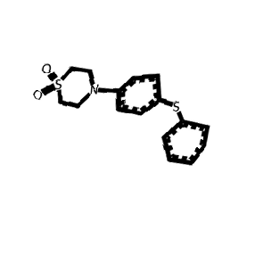 O=S1(=O)CCN(c2ccc(Sc3ccccc3)cc2)CC1